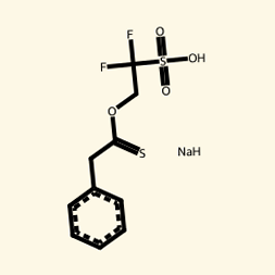 O=S(=O)(O)C(F)(F)COC(=S)Cc1ccccc1.[NaH]